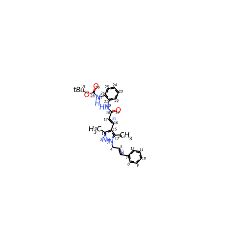 Cc1nn(C/C=C/c2ccccc2)c(C)c1/C=C/C(=O)Nc1ccccc1NC(=O)OC(C)(C)C